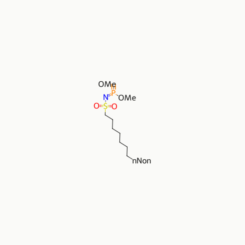 CCCCCCCCCCCCCCCCS(=O)(=O)N=[PH](OC)OC